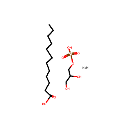 CCCCCCCCCCCC(=O)O.O=S(=O)(O)OCC(O)CO.[NaH]